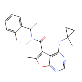 COc1ccccc1C(C)N(C)C(=O)c1c(C)oc2ncnc(NC3(C)CC3)c12